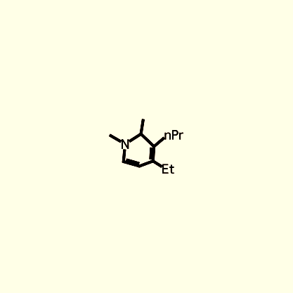 CCCC1=C(CC)C=CN(C)C1C